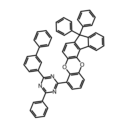 c1ccc(-c2cccc(-c3nc(-c4ccccc4)nc(-c4cccc5c4Oc4ccc6c(c4O5)-c4ccccc4C6(c4ccccc4)c4ccccc4)n3)c2)cc1